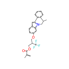 C=C(C)C(=O)OCC(COc1ccc2cc3n(c2c1)CC(C)c1ccccc1-3)C(F)(F)F